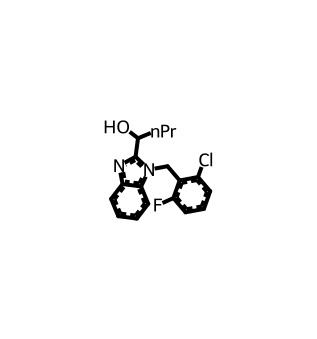 CCCC(O)c1nc2ccccc2n1Cc1c(F)cccc1Cl